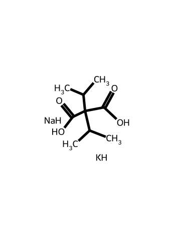 CC(C)C(C(=O)O)(C(=O)O)C(C)C.[KH].[NaH]